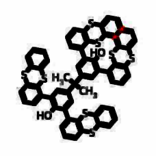 CC(C)(c1cc(-c2cccc3c2Sc2ccccc2S3)c(O)c(-c2cccc3c2Sc2ccccc2S3)c1)c1cc(-c2cccc3c2Sc2ccccc2S3)c(O)c(-c2cccc3c2Sc2ccccc2S3)c1